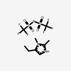 CCc1c[nH]c(C)[n+]1C.O=S(=O)([N-]S(=O)(=O)C(F)(F)F)C(F)(F)F